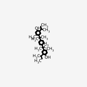 CCC(C)c1cc(C(C)(C)c2ccc(C(C)(C)c3cc(C(C)CC)c(O)cc3C)cc2)c(C)cc1O